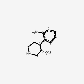 O=C(O)[C@@H]1CNCCN1c1cccnc1[N+](=O)[O-]